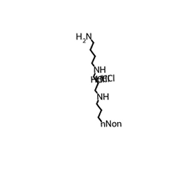 CCCCCCCCCCCCNCCCNCCCCN.Cl.Cl.Cl